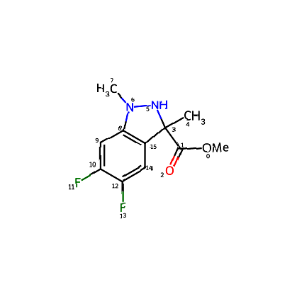 COC(=O)C1(C)NN(C)c2cc(F)c(F)cc21